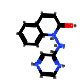 O=c1ccc2ccccc2n1Nc1cnccn1